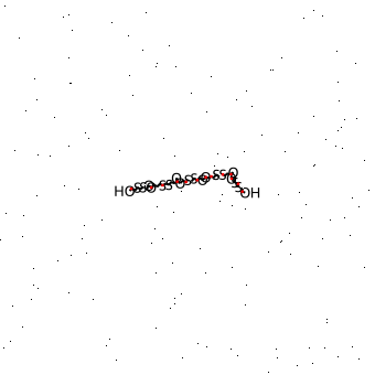 O=C(CCSCSCCCOOCSCSCCO)OCCSCSCCOOCCCSCSCCC(=O)OCSCSCCO